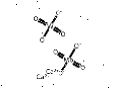 [Ca+2].[Ca+2].[O]=[Mo](=[O])([O-])[O-].[O]=[W](=[O])([O-])[O-]